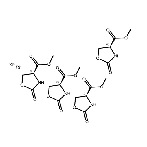 COC(=O)[C@@H]1COC(=O)N1.COC(=O)[C@@H]1COC(=O)N1.COC(=O)[C@@H]1COC(=O)N1.COC(=O)[C@@H]1COC(=O)N1.[Rh].[Rh]